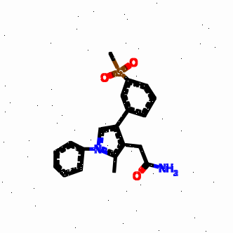 Cc1c(CC(N)=O)c(-c2cccc(S(C)(=O)=O)c2)cn1-c1ccccc1